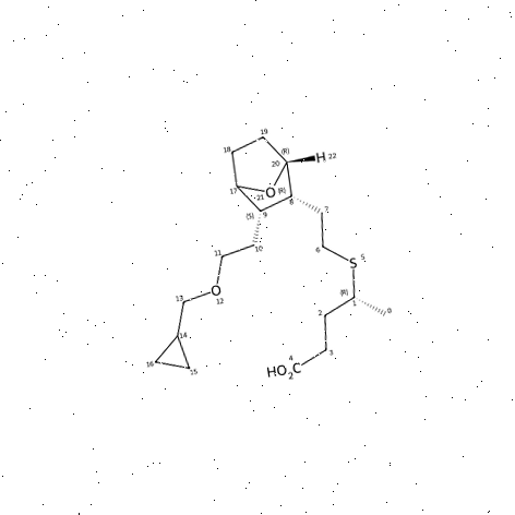 C[C@H](CCC(=O)O)SCC[C@@H]1[C@H](CCOCC2CC2)C2CC[C@H]1O2